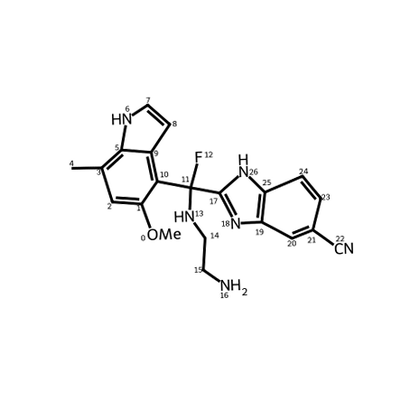 COc1cc(C)c2[nH]ccc2c1C(F)(NCCN)c1nc2cc(C#N)ccc2[nH]1